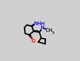 CN/C(=C1\C(=N)CCCC1=O)C1CCC1